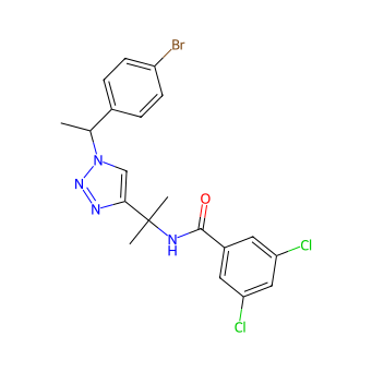 CC(c1ccc(Br)cc1)n1cc(C(C)(C)NC(=O)c2cc(Cl)cc(Cl)c2)nn1